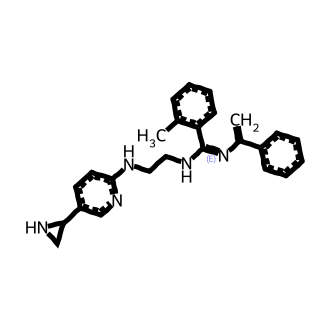 C=C(/N=C(/NCCNc1ccc(C2CN2)cn1)c1ccccc1C)c1ccccc1